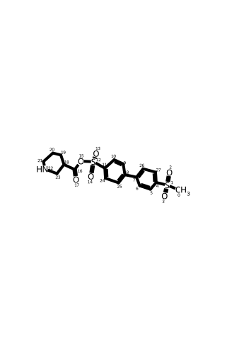 CS(=O)(=O)c1ccc(-c2ccc(S(=O)(=O)OC(=O)C3CCCNC3)cc2)cc1